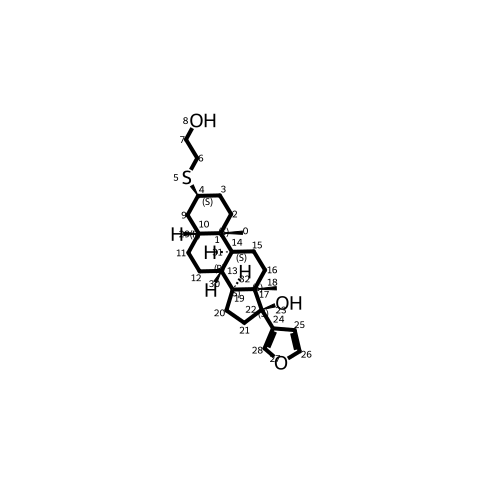 C[C@]12CC[C@H](SCCO)C[C@H]1CC[C@@H]1[C@@H]2CC[C@@]2(C)[C@H]1CC[C@@]2(O)c1ccoc1